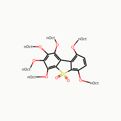 CCCCCCCCOc1ccc(OCCCCCCCC)c2c1-c1c(OCCCCCCCC)c(OCCCCCCCC)c(OCCCCCCCC)c(OCCCCCCCC)c1S2(=O)=O